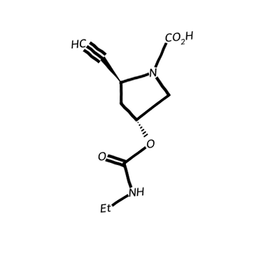 C#C[C@@H]1C[C@@H](OC(=O)NCC)CN1C(=O)O